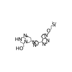 C[Si](C)(C)CCOCn1ccc2c(-c3cnn(C(CC#N)CN4CCNCC4CO)c3)ncnc21